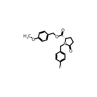 COc1ccc(COC(=O)[C@@H]2CCC(=O)N2Cc2ccc(F)cc2)cc1